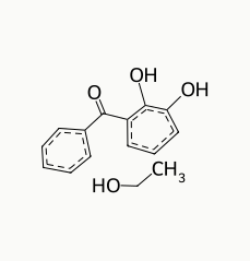 CCO.O=C(c1ccccc1)c1cccc(O)c1O